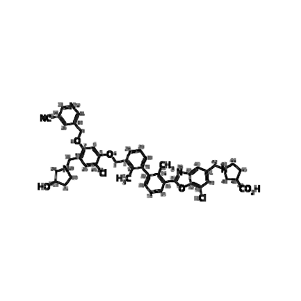 Cc1c(COc2cc(OCc3cncc(C#N)c3)c(CN3CCC(O)C3)cc2Cl)cccc1-c1cccc(-c2nc3cc(CN4CCC(C(=O)O)C4)cc(Cl)c3o2)c1C